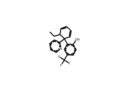 CCC1C=CC=CC1(c1ccccn1)c1cc(C(F)(F)F)ccc1O